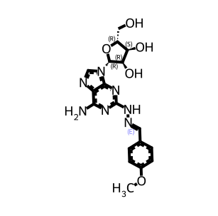 COc1ccc(/C=N/Nc2nc(N)c3ncn([C@@H]4O[C@H](CO)[C@@H](O)[C@H]4O)c3n2)cc1